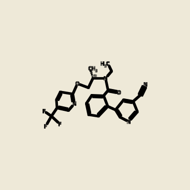 CCN(C(=O)c1ccccc1-c1cncc(C#N)c1)[C@@H](C)COc1ccc(C(F)(F)F)cn1